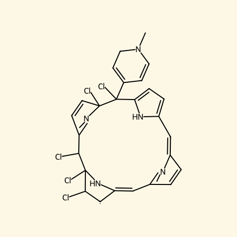 CN1C=CC(C2(Cl)c3ccc([nH]3)C=C3C=CC(=N3)C=C3[CH]C(Cl)C(Cl)(N3)C(Cl)C3=NC2(Cl)C=C3)=CC1